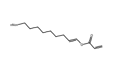 C=CC(=O)OC=CCCCCCCCCCCCCCCCC